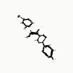 CCCc1ccc(C2CCC(/C(F)=C(\F)[C@H]3CC[C@H](CCC)CC3)CC2)cc1